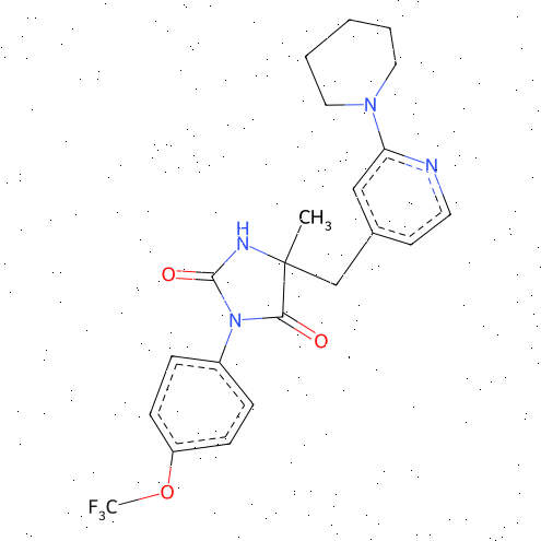 CC1(Cc2ccnc(N3CCCCC3)c2)NC(=O)N(c2ccc(OC(F)(F)F)cc2)C1=O